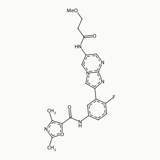 COCCC(=O)Nc1cnc2nc(-c3cc(NC(=O)c4oc(C)nc4C)ccc3F)cn2c1